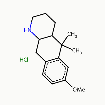 COc1ccc2c(c1)C(C)(C)C1CCCNC1C2.Cl